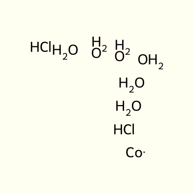 Cl.Cl.O.O.O.O.O.O.[Co]